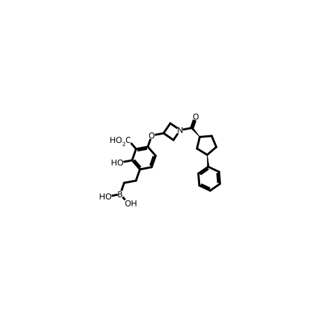 O=C(O)c1c(OC2CN(C(=O)[C@H]3CC[C@@H](c4ccccc4)C3)C2)ccc(CCB(O)O)c1O